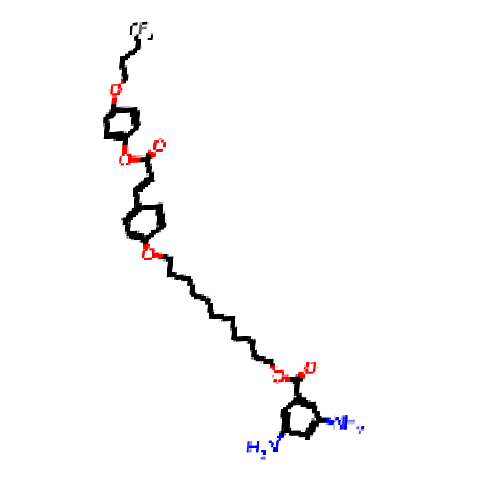 Nc1cc(N)cc(C(=O)OCCCCCCCCCCCOc2ccc(C=CC(=O)Oc3ccc(OCCCC(F)(F)F)cc3)cc2)c1